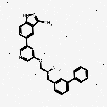 Cc1n[nH]c2ccc(-c3cncc(OC[C@@H](N)Cc4cccc(-c5ccccc5)c4)c3)cc12